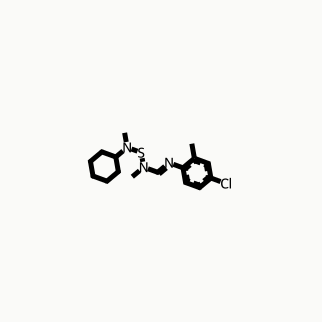 Cc1cc(Cl)ccc1/N=C/N(C)SN(C)C1CCCCC1